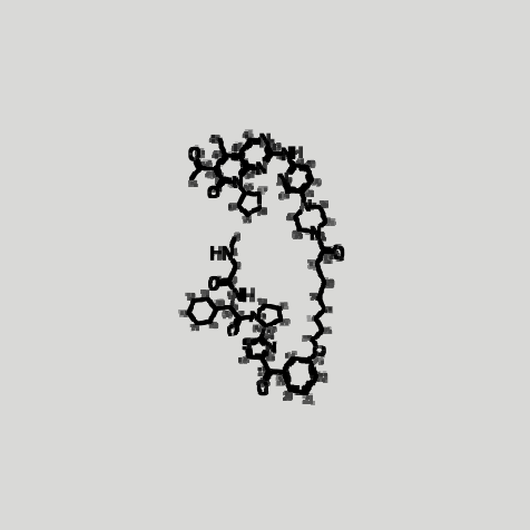 CNCC(=O)N[C@H](C(=O)N1CCC[C@H]1c1nc(C(=O)c2cccc(OCCCCCCCC(=O)N3CCN(c4ccc(Nc5ncc6c(C)c(C(C)=O)c(=O)n(C7CCCC7)c6n5)nc4)CC3)c2)cs1)C1CCCCC1